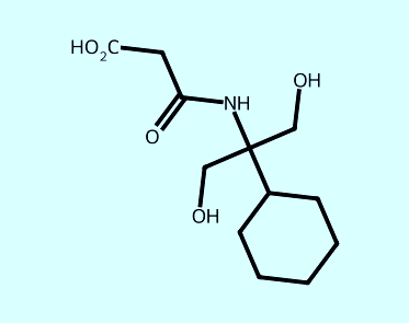 O=C(O)CC(=O)NC(CO)(CO)C1CCCCC1